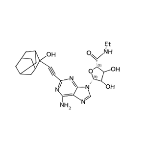 CCNC(=O)[C@H]1O[C@@H](n2cnc3c(N)nc(C#CC4(O)C5CC6CC(C5)CC4C6)nc32)C(O)C1O